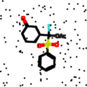 CC(=O)O[C@](F)([C@H]1CCCC(=O)C1)S(=O)(=O)c1ccccc1